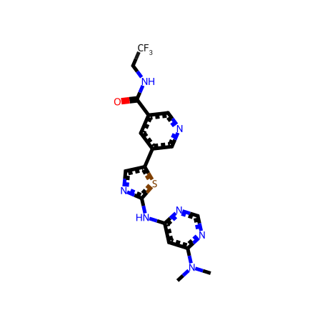 CN(C)c1cc(Nc2ncc(-c3cncc(C(=O)NCC(F)(F)F)c3)s2)ncn1